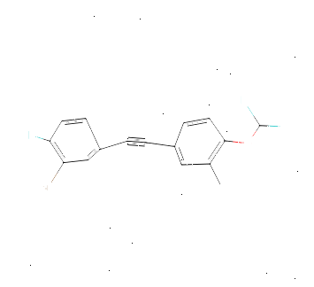 Cc1cc(C#Cc2ccc(F)c(Br)c2)ccc1OC(F)F